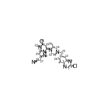 CC(c1ccc2ncc(Cl)nc2c1)N1C[C@H](C)N(c2cc(=O)n(C)c3cc(CC#N)nn23)C[C@H]1C